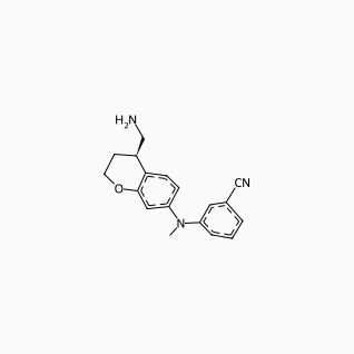 CN(c1cccc(C#N)c1)c1ccc2c(c1)OCC[C@H]2CN